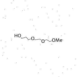 COCCOCCOCCCO